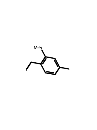 CNc1cc(C)ccc1CI